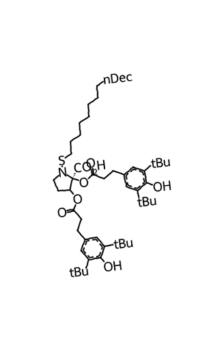 CCCCCCCCCCCCCCCCCCSN1CCC(OC(=O)CCc2cc(C(C)(C)C)c(O)c(C(C)(C)C)c2)[C@@]1(OC(=O)CCc1cc(C(C)(C)C)c(O)c(C(C)(C)C)c1)C(=O)O